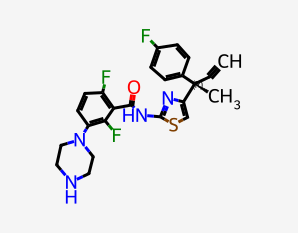 C#C[C@@](C)(c1ccc(F)cc1)c1csc(NC(=O)c2c(F)ccc(N3CCNCC3)c2F)n1